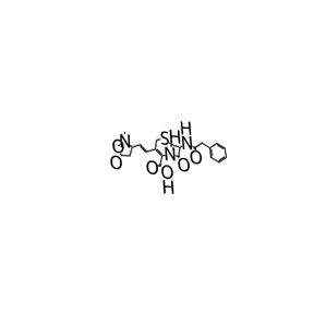 CN1OC(=O)CC1/C=C/C1=C(C(=O)O)N2C(=O)C(NC(=O)Cc3ccccc3)[C@H]2SC1